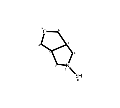 SN1CC2COCC2C1